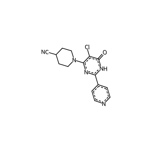 N#CC1CCN(c2nc(-c3ccncc3)[nH]c(=O)c2Cl)CC1